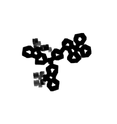 CC1(C)c2ccccc2-c2ccc(N(c3ccc(-c4cccc5c4-c4ccccc4C5(c4ccccc4)c4ccccc4)cc3)c3ccc4c(c3)C(C)(C)C3C=CC=CC43)cc21